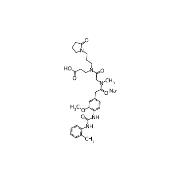 COc1cc(CC(=O)N(C)CC(=O)N(CCCN2CCCC2=O)CCC(=O)O)ccc1NC(=O)Nc1ccccc1C.[Na]